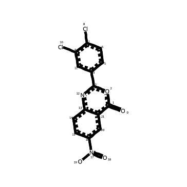 O=c1oc(-c2ccc(Cl)c(Cl)c2)nc2ccc([N+](=O)[O-])cc12